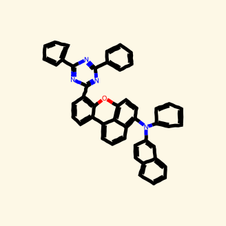 c1ccc(-c2nc(-c3ccccc3)nc(-c3cccc4c3Oc3ccc(N(c5ccccc5)c5ccc6ccccc6c5)c5cccc-4c35)n2)cc1